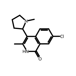 Cc1[nH]c(=O)c2cc(Cl)ccc2c1C1CCCN1C